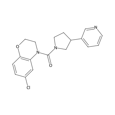 O=C(N1CCC(c2cccnc2)C1)N1CCOc2ccc(Cl)cc21